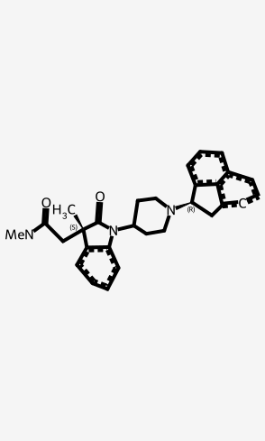 CNC(=O)C[C@]1(C)C(=O)N(C2CCN([C@@H]3Cc4cccc5cccc3c45)CC2)c2ccccc21